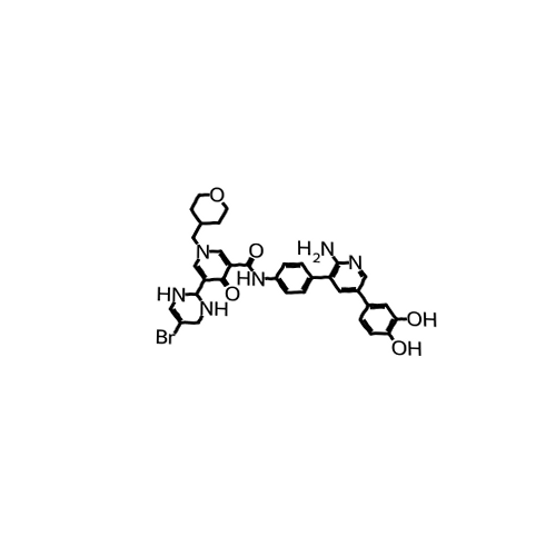 Nc1ncc(-c2ccc(O)c(O)c2)cc1-c1ccc(NC(=O)c2cn(CC3CCOCC3)cc(C3NC=C(Br)CN3)c2=O)cc1